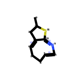 CC1CC2=C/CC/C=C/N=C\2S1